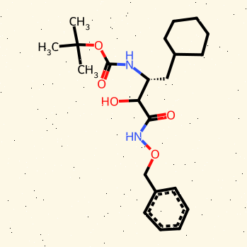 CC(C)(C)OC(=O)N[C@H](CC1CCCCC1)C(O)C(=O)NOCc1ccccc1